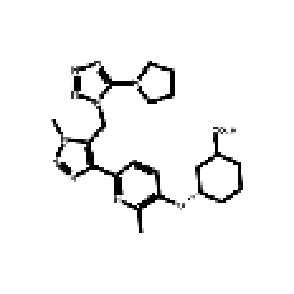 Cc1nc(-c2nnn(C)c2Cn2nnnc2N2CCCC2)ccc1O[C@H]1CCC[C@H](C(=O)O)C1